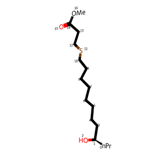 CCC[C@@H](O)CCCCCCCCSCCC(=O)OC